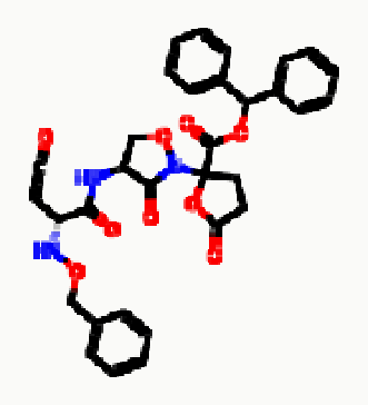 O=C=C[C@@H](NOCc1ccccc1)C(=O)N[C@H]1CON(C2(C(=O)OC(c3ccccc3)c3ccccc3)CCC(=O)O2)C1=O